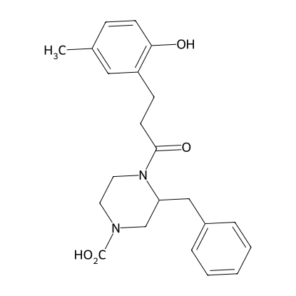 Cc1ccc(O)c(CCC(=O)N2CCN(C(=O)O)CC2Cc2ccccc2)c1